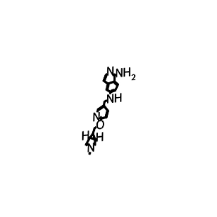 CN1C[C@@H]2C(COc3ccc(CNc4ccc5c(N)nccc5c4)cn3)[C@@H]2C1